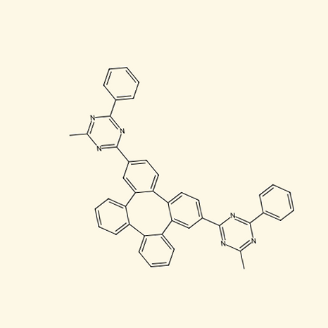 Cc1nc(-c2ccccc2)nc(-c2ccc3c(c2)-c2ccccc2-c2ccccc2-c2cc(-c4nc(C)nc(-c5ccccc5)n4)ccc2-3)n1